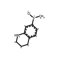 C[S+]([O-])c1ccc2c(c1)NCCC2